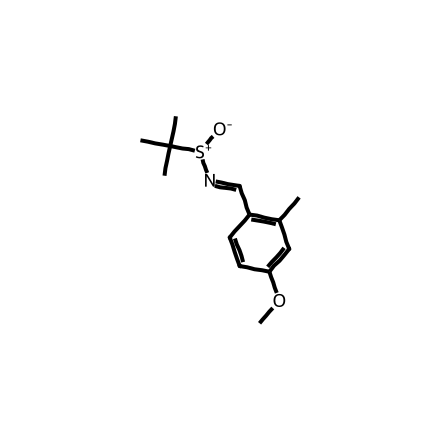 COc1ccc(/C=N/[S+]([O-])C(C)(C)C)c(C)c1